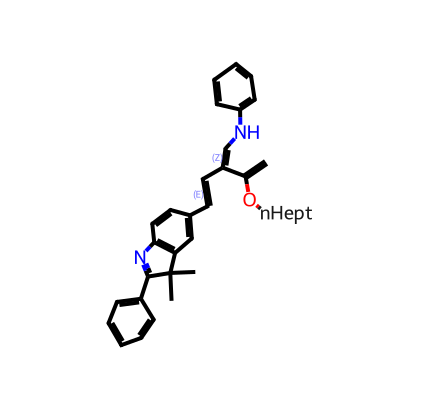 C=C(OCCCCCCC)C(=C\Nc1ccccc1)/C=C/c1ccc2c(c1)C(C)(C)C(c1ccccc1)=N2